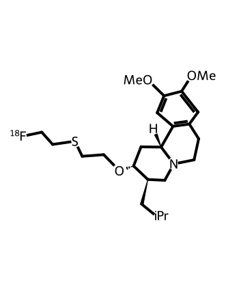 COc1cc2c(cc1OC)[C@H]1C[C@@H](OCCSCC[18F])[C@H](CC(C)C)CN1CC2